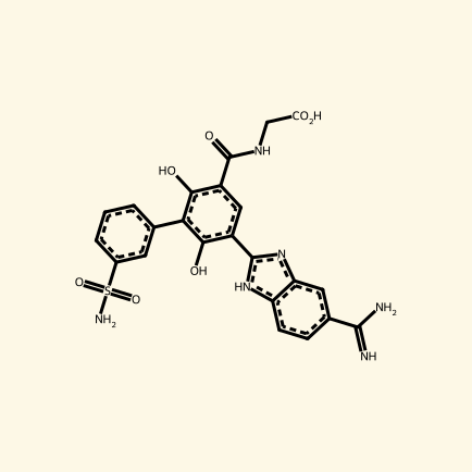 N=C(N)c1ccc2[nH]c(-c3cc(C(=O)NCC(=O)O)c(O)c(-c4cccc(S(N)(=O)=O)c4)c3O)nc2c1